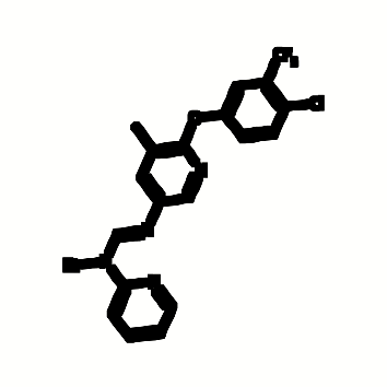 CCN(C=Nc1cnc(Oc2ccc(Cl)c(C(F)(F)F)c2)c(C)c1)c1ccccn1